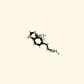 Cl.NCCc1ccc2ncsc2c1